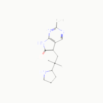 CC(C)(C)c1ncc2c(n1)NC(=O)C2CC(C)(C)C1CCCN1